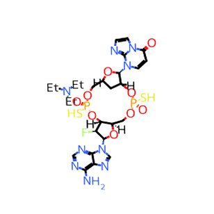 CCN(CC)CC.Nc1ncnc2c1ncn2[C@@H]1O[C@@H]2CO[P@@](=O)(S)O[C@@H]3C[C@@H](CO[P@@](=O)(S)O[C@H]2[C@@H]1F)O[C@H]3n1ccc(=O)n2ccnc12